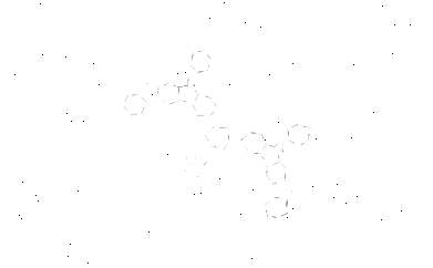 CC1(C)c2ccccc2-c2cc3c4cc(-c5cc(B6OC(C)(C)C(C)(C)O6)cc(-c6ccc7c(c6)c6cc8c(cc6n7-c6ccccc6)C(C)(C)c6ccccc6-8)c5)ccc4n(-c4ccccc4)c3cc21